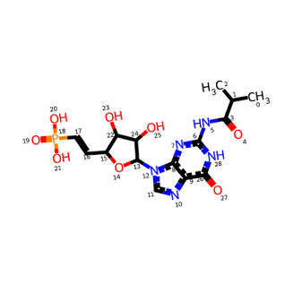 CC(C)C(=O)Nc1nc2c(ncn2C2OC(/C=C/P(=O)(O)O)C(O)C2O)c(=O)[nH]1